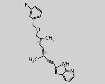 C/C(C#Cc1cc2cccnc2[nH]1)=C\C=C(/C)COCc1cccc(F)c1